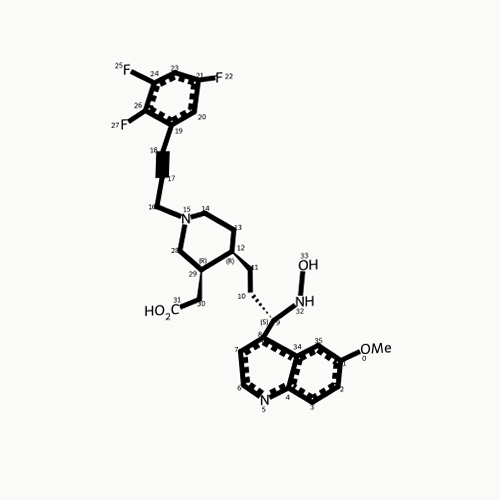 COc1ccc2nccc([C@H](CC[C@@H]3CCN(CC#Cc4cc(F)cc(F)c4F)C[C@@H]3CC(=O)O)NO)c2c1